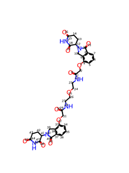 O=C(COc1cccc2c1CN(C1CCC(=O)NC1=O)C2=O)NCCOCCNC(=O)COc1cccc2c1CN(C1CCC(=O)NC1=O)C2=O